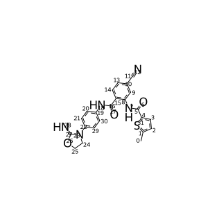 Cc1ccc(C(=O)Nc2cc(C#N)ccc2C(=O)Nc2ccc(N3CCOC3=N)cc2)s1